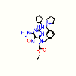 CCOC(=O)CN(Cc1cccc(CN2CCCC2)c1)c1nc(NC2CCCC2)nc(N)c1N=O